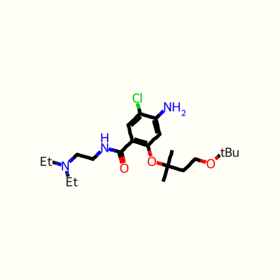 CCN(CC)CCNC(=O)c1cc(Cl)c(N)cc1OC(C)(C)CCOC(C)(C)C